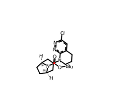 CC(C)(C)OC(=O)N1[C@@H]2CC[C@H]1CC(N1CCCc3cc(Cl)nnc31)C2